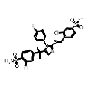 CCS(=O)(=O)c1ccc(CSc2ncc(C(C)(C)c3ccc(S(N)(=O)=O)c(Cl)c3)n2-c2ccc(F)cc2)c(Cl)c1